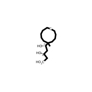 CC1([C@@H](O)C[C@@H](O)CC(=O)O)CCCCCCCCCC1